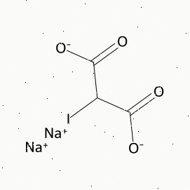 O=C([O-])C(I)C(=O)[O-].[Na+].[Na+]